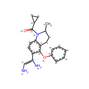 CC1CCc2c(ccc(/C(N)=C/N)c2Oc2ccccc2)N1C(=O)C1CC1